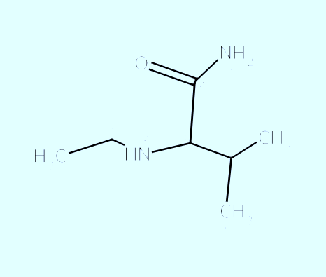 CCNC(C(N)=O)C(C)C